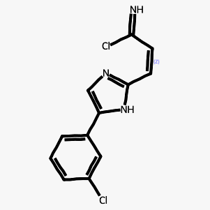 N=C(Cl)/C=C\c1ncc(-c2cccc(Cl)c2)[nH]1